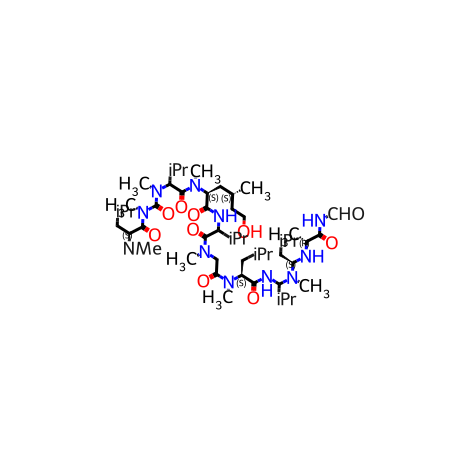 CN[C@@H](CC(C)C)C(=O)N(C)C(=O)N(C)C(C(=O)N(C)[C@@H](C[C@H](C)CCO)C(=O)NC(C(=O)N(C)CC(=O)N(C)[C@@H](CC(C)C)C(=O)NC(C(C)C)N(C)[C@@H](CC(C)C)N[C@H](C)C(=O)NC=O)C(C)C)C(C)C